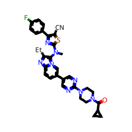 CCc1nc2ccc(-c3cnc(N4CCN(C(=O)C5CC5)CC4)nc3)cn2c1N(C)c1nc(-c2ccc(F)cc2)c(C#N)s1